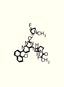 C=C(F)C(=O)N1CC[C@@H]2[C@H]1CN2c1nc(OC[C@@H]2C[C@@H](F)CN2C)nc2nc(-c3cccc4cccc(Cl)c34)ccc12